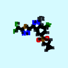 CCn1nc(-c2nnc(C(F)F)s2)c2cc(S(=O)(=O)CC3(C)CC3)cc(Br)c21